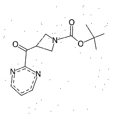 CC(C)(C)OC(=O)N1CC(C(=O)c2ncccn2)C1